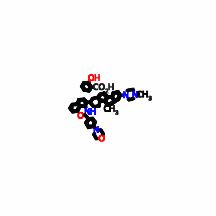 Cc1cc2cc(N3CCN(C)CC3)ccc2c2ccc3c(c12)CCC(c1ccc2ccccc2c1NC(=O)c1ccc(N2CCOCC2)cc1)C3.O=C(O)c1ccccc1O